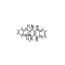 Nc1cc(Oc2ccccc2O)c(N)c2c1C(=O)c1ccccc1C2=O